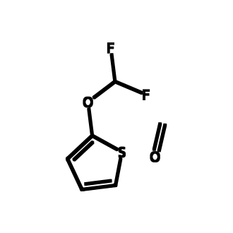 C=O.FC(F)Oc1cccs1